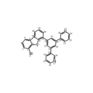 Brc1cccc2c1sc1c(-c3cc(-c4cccnc4)cc(-c4cccnc4)c3)cccc12